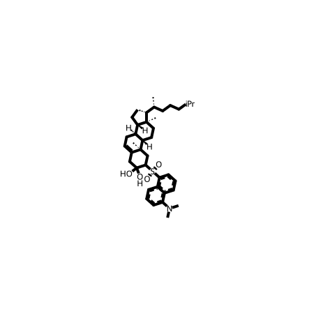 CC(C)CCC[C@@H](C)[C@H]1CC[C@H]2[C@@H]3CC=C4CC(O)(O)C(S(=O)(=O)c5cccc6c(N(C)C)cccc56)C[C@]4(C)[C@H]3CC[C@]12C